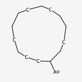 [As]C1CCCCCCCCCCCCC1